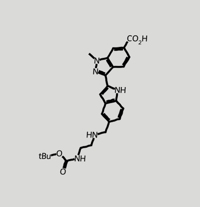 Cn1nc(-c2cc3cc(CNCCNC(=O)OC(C)(C)C)ccc3[nH]2)c2ccc(C(=O)O)cc21